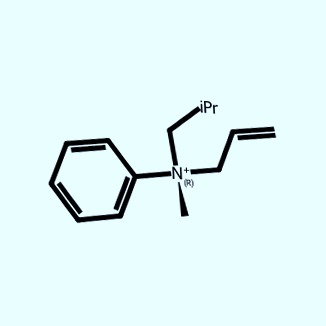 C=CC[N@@+](C)(CC(C)C)c1ccccc1